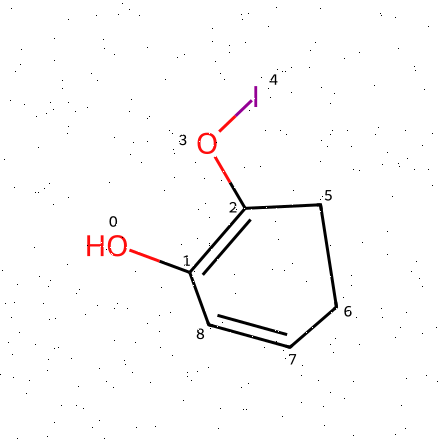 OC1=C(OI)CCC=C1